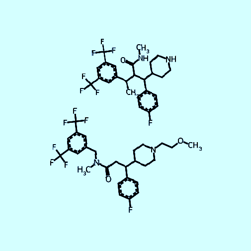 CNC(=O)C(C(C)c1cc(C(F)(F)F)cc(C(F)(F)F)c1)C(c1ccc(F)cc1)C1CCNCC1.COCCN1CCC(C(CC(=O)N(C)Cc2cc(C(F)(F)F)cc(C(F)(F)F)c2)c2ccc(F)cc2)CC1